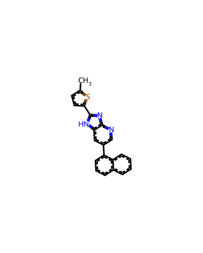 Cc1ccc(-c2nc3ncc(-c4cccc5ccccc45)cc3[nH]2)s1